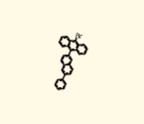 Brc1c2ccccc2c(-c2ccc3cc(-c4ccccc4)ccc3c2)c2ccccc12